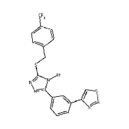 CCn1c(SCc2ccc(C(F)(F)F)cc2)nnc1-c1cccc(-c2csnn2)c1